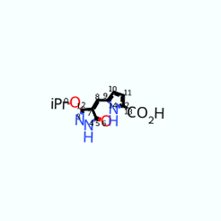 CC(C)OC1=NNC(=O)/C1=C\c1ccc(C(=O)O)[nH]1